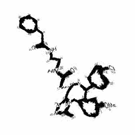 COc1ccc2c(c1)C(c1ccc(Cl)cc1)=N[C@@H](CC(=O)NCCNC(=O)Cc1ccccc1)c1nnc(C)n1-2